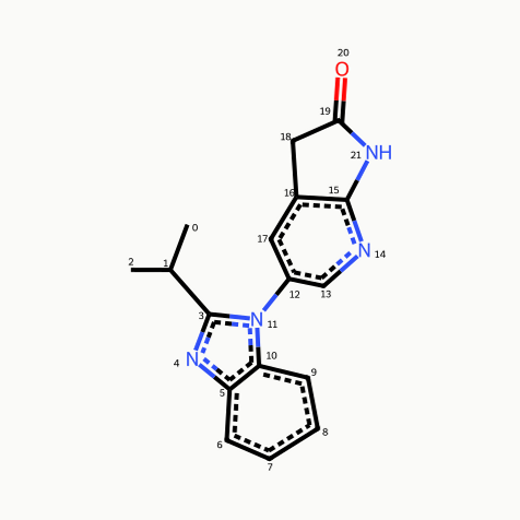 CC(C)c1nc2ccccc2n1-c1cnc2c(c1)CC(=O)N2